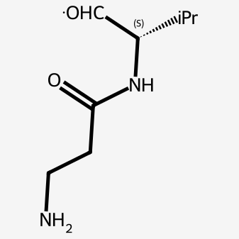 CC(C)[C@@H]([C]=O)NC(=O)CCN